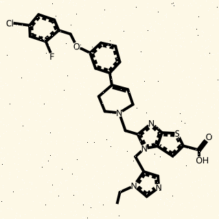 CCn1cncc1Cn1c(CN2CC=C(c3cccc(OCc4ccc(Cl)cc4F)c3)CC2)nc2sc(C(=O)O)cc21